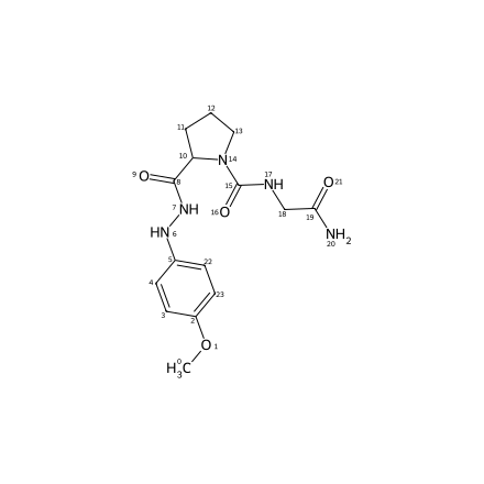 COc1ccc(NNC(=O)C2CCCN2C(=O)NCC(N)=O)cc1